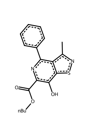 CCCCOC(=O)c1nc(-c2ccccc2)c2c(C)nsc2c1O